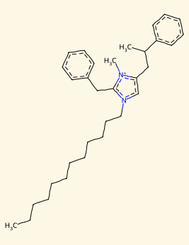 CCCCCCCCCCCCn1cc(CC(C)c2ccccc2)[n+](C)c1Cc1ccccc1